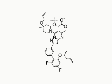 C=CCOC1(C)CCN(c2c([C@H](OC(C)(C)C)C(=O)OC)c(C)nc3cc(-c4cccc(-c5c(F)cc(F)cc5O[C@@H](C)CC=C)c4)nn23)CC1